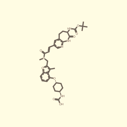 Cc1c(CN(C)C(=O)/C=C/c2cnc3c(c2)CCC(NC(=O)OC(C)(C)C)C(=O)N3)oc2cccc(O[C@H]3CC[C@H](NC(=O)O)CC3)c12